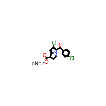 CCCCCCCCCOC(=O)C1CCn2c1cc(Cl)c2C(=O)c1ccc(Cl)cc1